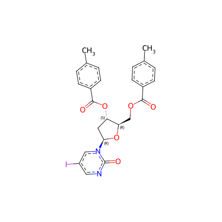 Cc1ccc(C(=O)OC[C@H]2O[C@@H](n3cc(I)cnc3=O)C[C@@H]2OC(=O)c2ccc(C)cc2)cc1